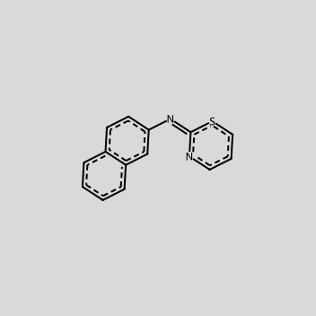 c1cnc(=Nc2ccc3ccccc3c2)sc1